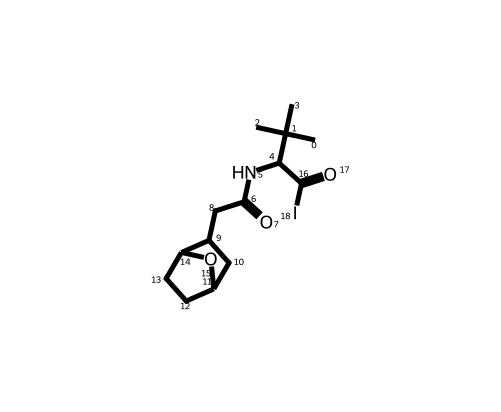 CC(C)(C)C(NC(=O)CC1CC2CCC1O2)C(=O)I